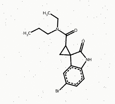 CCCN(CC)C(=O)C1CC12C(=O)Nc1ccc(Br)cc12